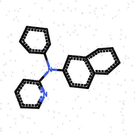 c1ccc(N(c2ccc3ccccc3c2)c2ccccn2)cc1